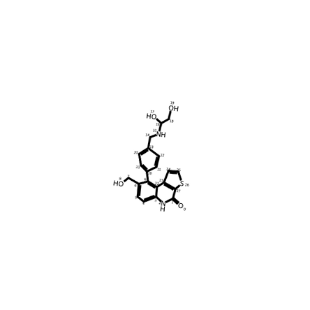 O=c1[nH]c2ccc(CO)c(-c3ccc(CNC(O)CO)cc3)c2c2ccsc12